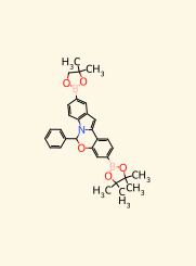 CC1(C)COB(c2ccc3c(c2)cc2n3C(c3ccccc3)Oc3cc(B4OC(C)(C)C(C)(C)O4)ccc3-2)O1